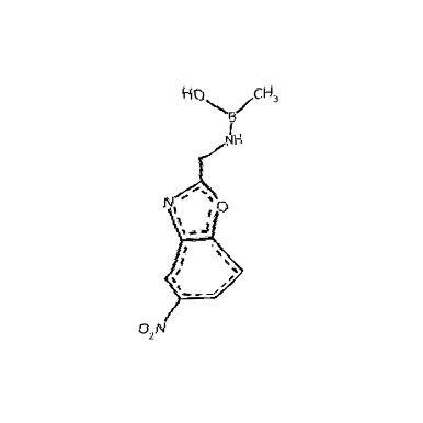 CB(O)NCc1nc2cc([N+](=O)[O-])ccc2o1